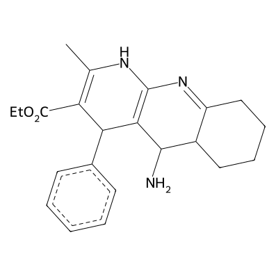 CCOC(=O)C1=C(C)NC2=C(C1c1ccccc1)C(N)C1CCCCC1=N2